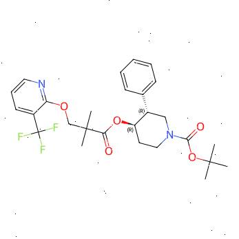 CC(C)(C)OC(=O)N1CC[C@@H](OC(=O)C(C)(C)COc2ncccc2C(F)(F)F)[C@H](c2ccccc2)C1